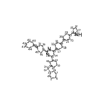 CC1(C)c2ccccc2-c2ccc(-c3cc(-c4ccc(-c5ccc(-c6ccc[nH]6)cc5)cc4)nc(-c4ccc(-c5ccccc5)cc4)n3)cc21